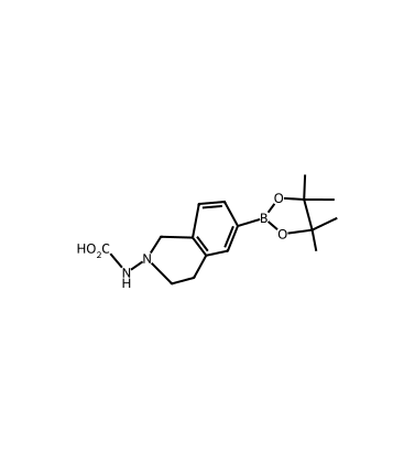 CC1(C)OB(c2ccc3c(c2)CCN(NC(=O)O)C3)OC1(C)C